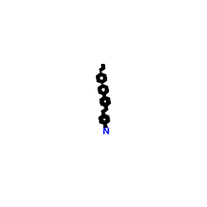 CCC[C@H]1CC[C@H](C2CCC(c3ccc(CCc4ccc(C#N)cc4)cc3)CC2)CC1